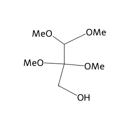 COC(OC)C(CO)(OC)OC